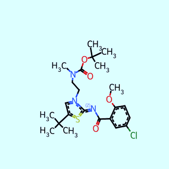 COc1ccc(Cl)cc1C(=O)/N=c1\sc(C(C)(C)C)cn1CCN(C)C(=O)OC(C)(C)C